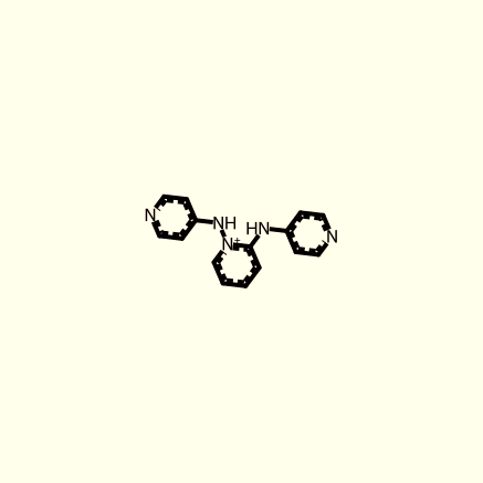 c1cc[n+](Nc2ccncc2)c(Nc2ccncc2)c1